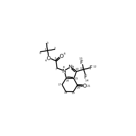 CC(C)(C)OC(=O)Cn1nc(C(F)(F)F)c2c1CCCC2=O